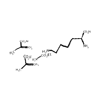 C=C(C)C(=O)O.C=C(C)C(=O)O.CCOC(N)=O.NCCCC[C@H](N)C(=O)O